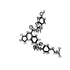 COc1ccc2nc(NC(=O)C(CC3CCCC3)c3ccc(S(=O)(=O)Nc4ccc(CCN(C)C)cc4)cc3)sc2n1